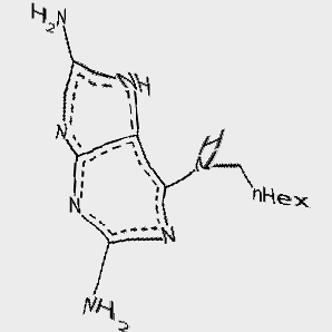 CCCCCCNc1nc(N)nc2nc(N)[nH]c12